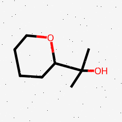 CC(C)(O)C1CCCCO1